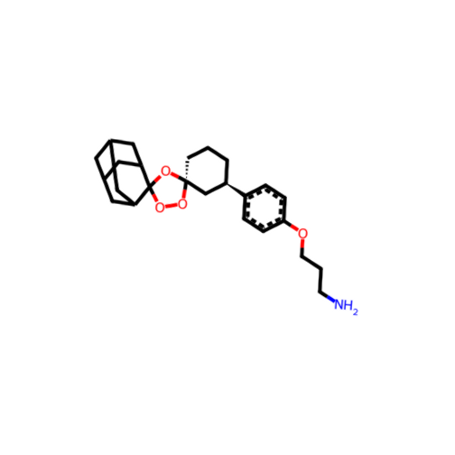 NCCCOc1ccc([C@@H]2CCC[C@]3(C2)OOC2(O3)C3CC4CC(C3)CC2C4)cc1